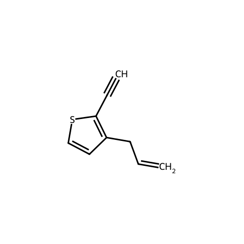 C#Cc1sccc1CC=C